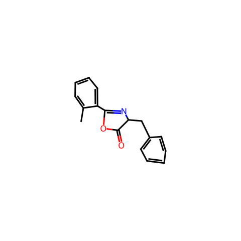 Cc1ccccc1C1=NC(Cc2ccccc2)C(=O)O1